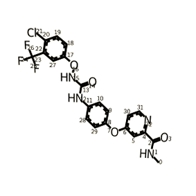 CNC(=O)c1cc(Oc2ccc(NC(=O)NOc3ccc(Cl)c(C(F)(F)F)c3)cc2)ccn1